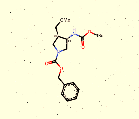 COC[C@@H]1CN(C(=O)OCc2ccccc2)C[C@@H]1NC(=O)OC(C)(C)C